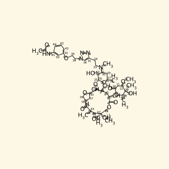 CC[C@H]1OC(=O)[C@H](C)[C@@H](O[C@H]2C[C@@](C)(OC)[C@@H](O)[C@H](C)O2)[C@H](C)[C@@H](O[C@@H]2O[C@H](C)C[C@H](N(C)CCc3cn(CCOc4cccc(NC(C)=O)c4)nn3)[C@H]2O)[C@@]2(C)C[C@@H](CO2)C(=O)[C@H](C)[C@@H](O)[C@]1(C)O